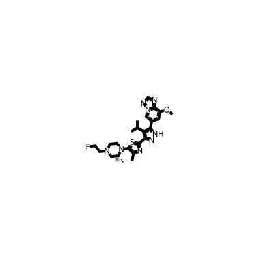 COc1cc(-c2[nH]nc(-c3nc(C)c(N4CCN(CCF)C[C@H]4C)s3)c2C(C)C)cn2ncnc12